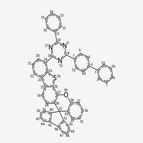 c1ccc(-c2ccc(-c3nc(-c4ccccc4)nc(-c4cccc5c4sc4c6c(ccc45)C4(c5ccccc5O6)c5ccccc5-c5ccccc54)n3)cc2)cc1